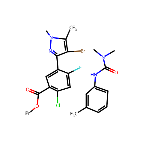 CC(C)OC(=O)c1cc(-c2nn(C)c(C(F)(F)F)c2Br)c(F)cc1Cl.CN(C)C(=O)Nc1cccc(C(F)(F)F)c1